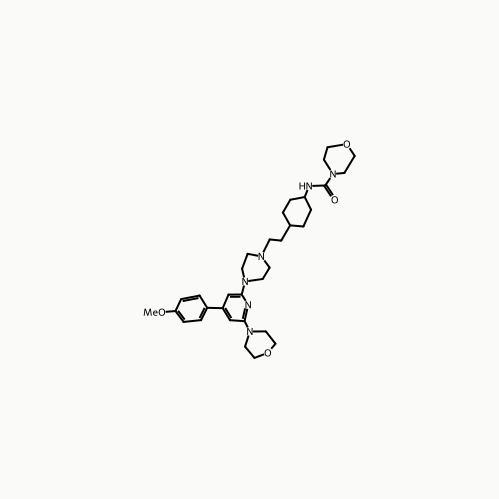 COc1ccc(-c2cc(N3CCOCC3)nc(N3CCN(CCC4CCC(NC(=O)N5CCOCC5)CC4)CC3)c2)cc1